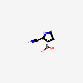 N#Cc1ccc[nH]1.OBO